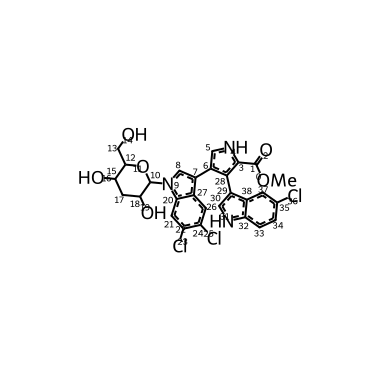 COC(=O)c1[nH]cc(-c2cn(C3OC(CO)C(O)CC3O)c3cc(Cl)c(Cl)cc23)c1-c1c[nH]c2ccc(Cl)cc12